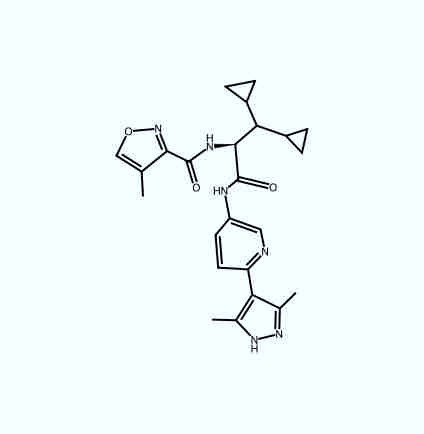 Cc1conc1C(=O)N[C@H](C(=O)Nc1ccc(-c2c(C)n[nH]c2C)nc1)C(C1CC1)C1CC1